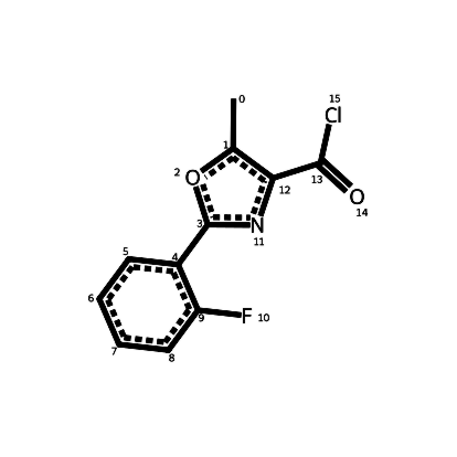 Cc1oc(-c2ccccc2F)nc1C(=O)Cl